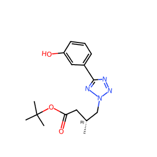 C[C@H](CC(=O)OC(C)(C)C)Cn1nnc(-c2cccc(O)c2)n1